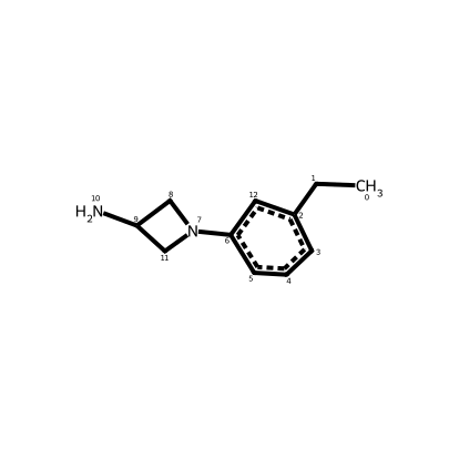 CCc1cccc(N2CC(N)C2)c1